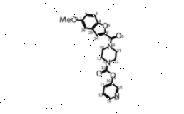 COc1ccc2oc(C(=O)N3CCN(C(=O)Oc4cccnc4)CC3)cc2c1